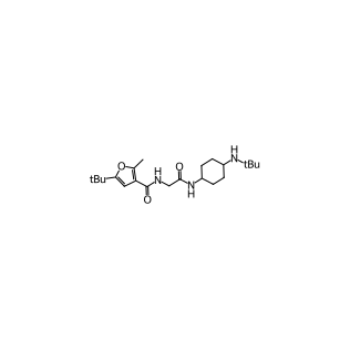 Cc1oc(C(C)(C)C)cc1C(=O)NCC(=O)NC1CCC(NC(C)(C)C)CC1